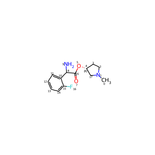 CN1CC[C@@H](OC(=O)C(N)c2ccccc2F)C1